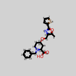 Cc1oc(-c2cccs2)nc1CO[C@@H]1CCN(Cc2ccccc2)C(C(=O)O)C1